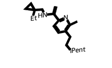 C=C(NCC1(CC)CC1)c1ccc(CCC(C)CCC)c(C)n1